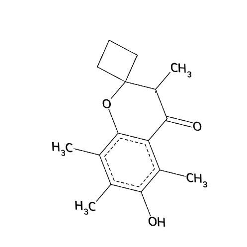 C[C]1C(=O)c2c(C)c(O)c(C)c(C)c2OC12CCC2